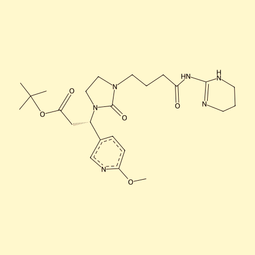 COc1ccc([C@H](CC(=O)OC(C)(C)C)N2CCN(CCCC(=O)NC3=NCCCN3)C2=O)cn1